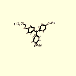 COc1ccc([C](c2ccc(CCC(=O)O)cc2)c2ccc(OC)cc2)cc1